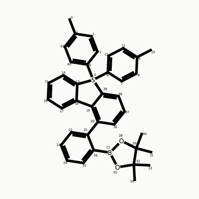 Cc1ccc(S2(c3ccc(C)cc3)c3ccccc3-c3c(-c4ccccc4B4OC(C)(C)C(C)(C)O4)cccc32)cc1